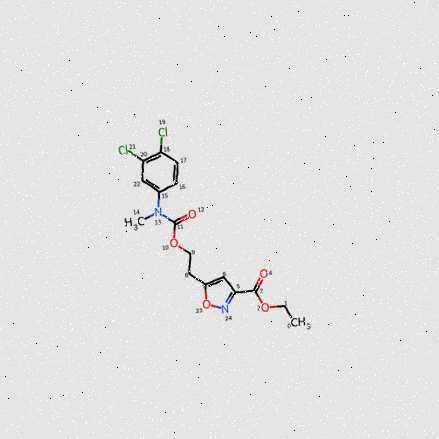 CCOC(=O)c1cc(CCOC(=O)N(C)c2ccc(Cl)c(Cl)c2)on1